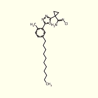 CCCCCCCCCCCc1ccc(C)c(-c2nnc(C3(/C(N)=N/Cl)CC3)o2)c1